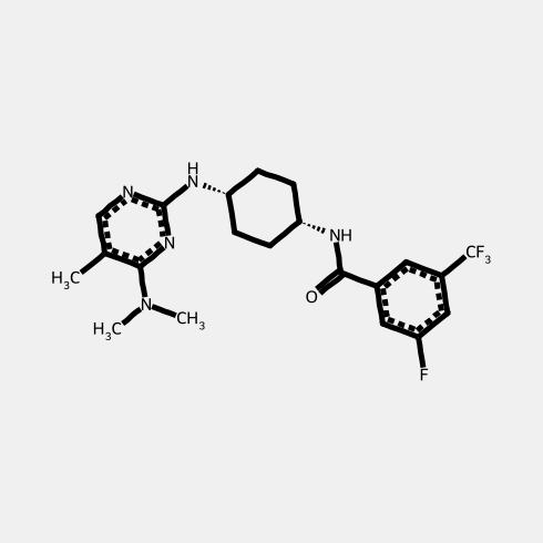 Cc1cnc(N[C@H]2CC[C@@H](NC(=O)c3cc(F)cc(C(F)(F)F)c3)CC2)nc1N(C)C